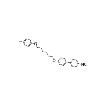 [C-]#[N+]c1ccc(-c2ccc(OCCCCCCOc3ccc(C)cc3)cc2)cc1